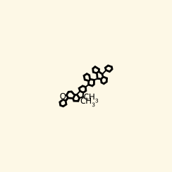 CC1(C)c2cc(-c3ccc(-c4c5ccccc5c(-c5ccccc5)c5ccccc45)c4ccccc34)ccc2-c2c1ccc1c2ccc2oc3ccccc3c21